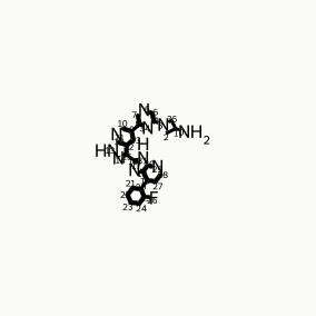 NC1CN(c2cncc(-c3cnc4[nH]nc(-c5nc6c(-c7ccccc7F)ccnc6[nH]5)c4c3)n2)C1